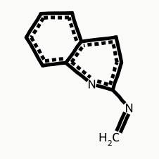 C=Nc1ccc2ccccc2n1